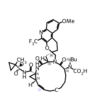 CC[C@H](C)N(C(=O)O)[C@H]1CCCCC/C=C\[C@@H]2C[C@@]2(C(=O)NS(=O)(=O)C2(C)CC2)NC(=O)[C@@H]2C[C@]3(CCc4c(c(C(F)(F)F)nc5ccc(OC)cc45)O3)CN2C1=O